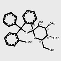 COc1ccccc1C(O[C@@]1(C)O[C@H](CO)[C@@H](OC(C)=O)[C@H](OC(C)=O)[C@@H]1OC(C)=O)(c1ccccc1)c1ccccc1